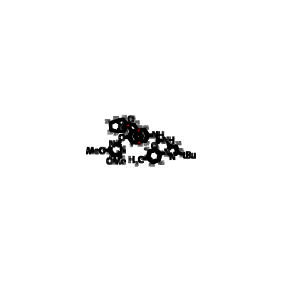 COc1cc(OC)nc(Oc2ccccc2C(=O)N2C3CCC2CC(Cc2cccc(NC(=O)Nc4cc(C(C)(C)C)nn4-c4ccc(C)cc4)c2)C3)n1